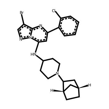 Clc1ccccc1-c1cc(NC2CCN(C3C[C@@H]4CC[C@H]3C4)CC2)n2ncc(Br)c2n1